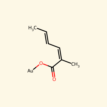 CC=CC=C(C)C(=O)[O][Au]